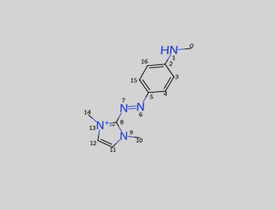 CNc1ccc(N=Nc2n(C)cc[n+]2C)cc1